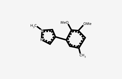 COc1cc(C)cc(-c2cnn(C)c2)c1OC